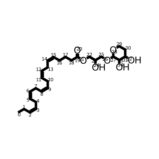 CC/C=C\C/C=C\C/C=C\C/C=C\C/C=C\CCCC(=O)OCC(O)COC1OCCC(O)C1O